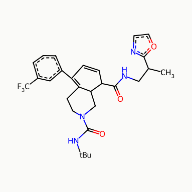 CC(CNC(=O)C1C=CC(c2cccc(C(F)(F)F)c2)=C2CCN(C(=O)NC(C)(C)C)CC21)c1ncco1